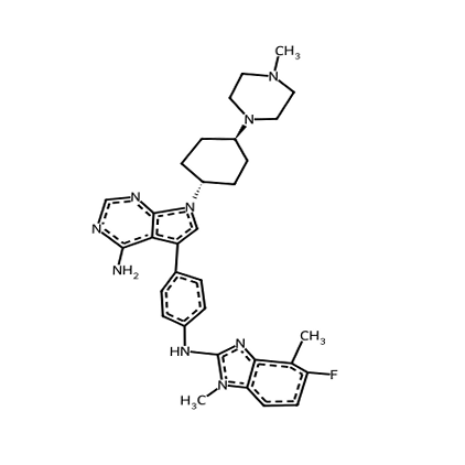 Cc1c(F)ccc2c1nc(Nc1ccc(-c3cn([C@H]4CC[C@H](N5CCN(C)CC5)CC4)c4ncnc(N)c34)cc1)n2C